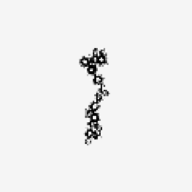 O=C1CC[C@H](N2Cc3c(ccc4c3OCC43CCN(C4CN(C(=O)CCN5CCC(c6ccc7c(c6)-n6c(nc(=O)c8c(Cl)cccc86)C76CCCCC6)CC5)C4)CC3)C2=O)C(=O)N1